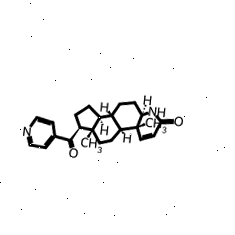 C[C@]12C=CC(=O)N[C@@H]1CC[C@@H]1[C@@H]2CC[C@]2(C)[C@@H](C(=O)c3ccncc3)CC[C@@H]12